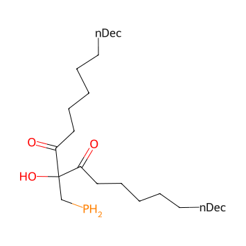 CCCCCCCCCCCCCCCC(=O)C(O)(CP)C(=O)CCCCCCCCCCCCCCC